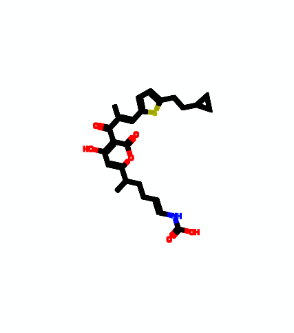 CC(=Cc1ccc(CCC2CC2)s1)C(=O)c1c(O)cc(C(C)CCC=CNC(=O)O)oc1=O